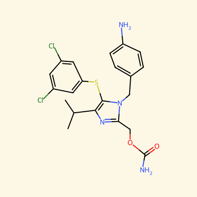 CC(C)c1nc(COC(N)=O)n(Cc2ccc(N)cc2)c1Sc1cc(Cl)cc(Cl)c1